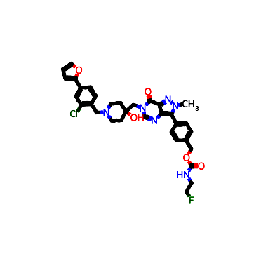 Cn1nc2c(=O)n(CC3(O)CCN(Cc4ccc(-c5ccco5)cc4Cl)CC3)cnc2c1-c1ccc(COC(=O)NCCF)cc1